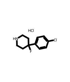 Cl.FC1(c2ccc(Cl)cc2)CCNCC1